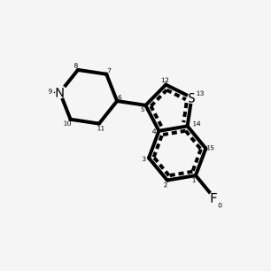 Fc1ccc2c(C3CC[N]CC3)csc2c1